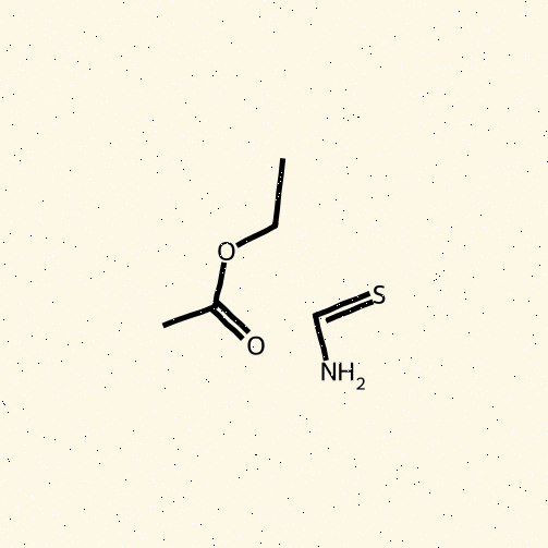 CCOC(C)=O.NC=S